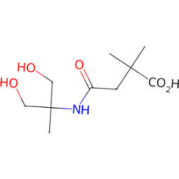 CC(CO)(CO)NC(=O)CC(C)(C)C(=O)O